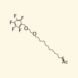 CC(=O)SCCCCCCCCCCCOCCOCc1c(F)c(F)c(F)c(F)c1F